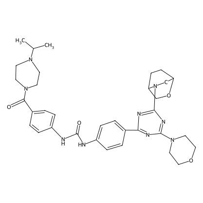 CC(C)N1CCN(C(=O)c2ccc(NC(=O)Nc3ccc(-c4nc(N5CCOCC5)nc(N5CC6CCC5CO6)n4)cc3)cc2)CC1